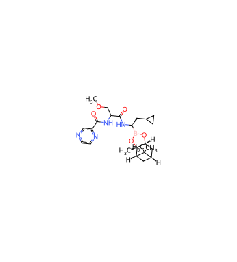 COCC(NC(=O)c1cnccn1)C(=O)N[C@@H](CC1CC1)B1O[C@@H]2C[C@@H]3C[C@@H](C3(C)C)[C@]2(C)O1